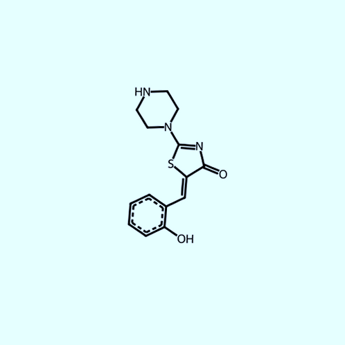 O=C1N=C(N2CCNCC2)SC1=Cc1ccccc1O